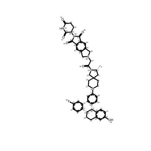 C[C@@H]1CC2(CCN(c3ccc([C@@H]4c5ccc(O)cc5CC[C@@H]4c4ccc(F)cc4)cc3)CC2)CN1C(=O)CN1Cc2cc3c(cc2C1)C(=O)N([C@@H]1CCC(=O)NC1=O)C3=O